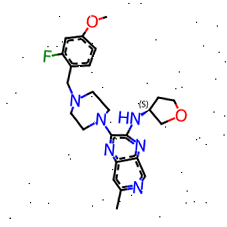 COc1ccc(CN2CCN(c3nc4cc(C)ncc4nc3N[C@H]3CCOC3)CC2)c(F)c1